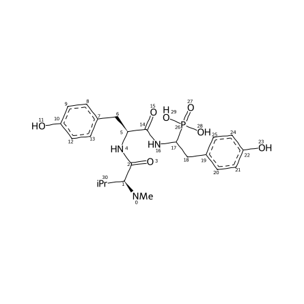 CN[C@H](C(=O)N[C@@H](Cc1ccc(O)cc1)C(=O)NC(Cc1ccc(O)cc1)P(=O)(O)O)C(C)C